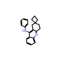 c1ccc(Nc2c3c(nc4ccccc24)CCC2(CCC2)C3)cc1